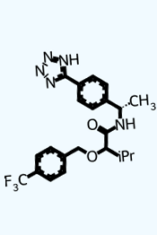 CC(C)C(OCc1ccc(C(F)(F)F)cc1)C(=O)N[C@@H](C)c1ccc(-c2nnn[nH]2)cc1